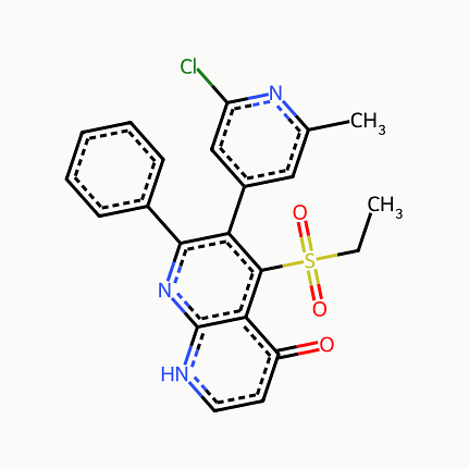 CCS(=O)(=O)c1c(-c2cc(C)nc(Cl)c2)c(-c2ccccc2)nc2[nH]ccc(=O)c12